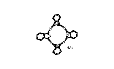 [AtH].c1ccc2c(c1)-c1nc-2nc2[nH]c(nc3nc(nc4[nH]c(n1)c1ccccc41)-c1ccccc1-3)c1ccccc21